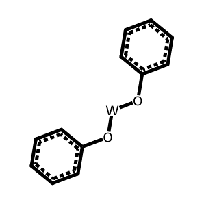 c1ccc([O][W][O]c2ccccc2)cc1